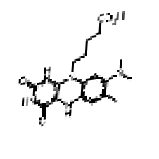 Cc1cc2c(cc1N(C)C)N(CCCCC(=O)O)c1[nH]c(=O)[nH]c(=O)c1N2